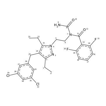 CCc1nn(CCN(C(N)=O)C(=O)c2c(F)cccc2F)c(CC)c1Cc1cc(Cl)cc(Cl)c1